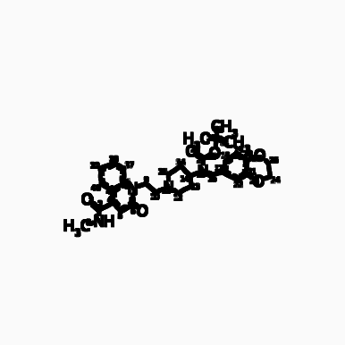 CNC(=O)c1cc(=O)n(CCN2CCC(N(Cc3ccc4c(c3)OCCO4)C(=O)OC(C)(C)C)CC2)c2ccccc12